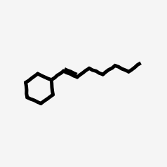 CCCCCC=CC1CCCCC1